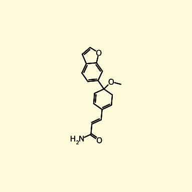 COC1(c2ccc3ccoc3c2)C=CC(C=CC(N)=O)=CC1